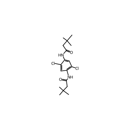 CC(C)(C)CC(=O)Nc1cc(Cl)c(NC(=O)CC(C)(C)C)cc1Cl